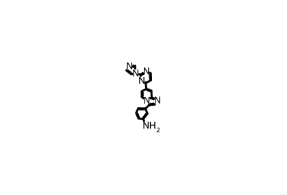 Nc1cccc(-c2cnc3cc(-c4ccnc(-n5ccnc5)n4)ccn23)c1